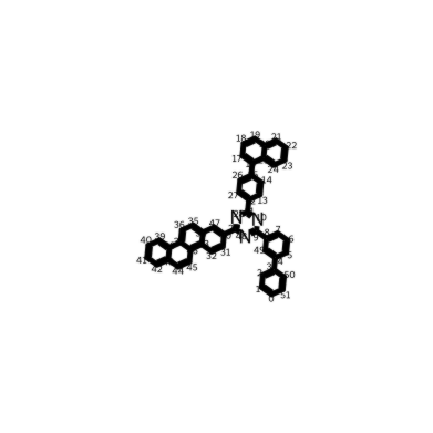 c1ccc(-c2cccc(-c3nc(-c4ccc(-c5cccc6ccccc56)cc4)nc(-c4ccc5c(ccc6c7ccccc7ccc56)c4)n3)c2)cc1